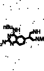 CCCCNc1nc(N)nc2ccc(/C(C=N)=C/NC)cc12